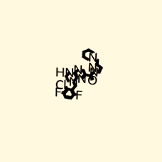 O=C(c1cnc2c(n1)N(Cc1c(F)ccc(F)c1Cl)CCN2)n1ccc(CN2CCCCC2)n1